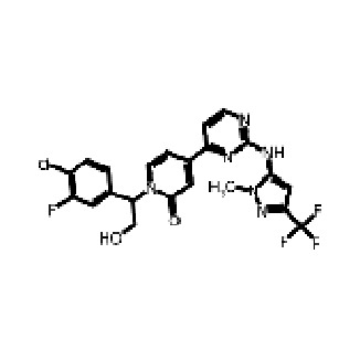 Cn1nc(C(F)(F)F)cc1Nc1nccc(-c2ccn(C(CO)c3ccc(Cl)c(F)c3)c(=O)c2)n1